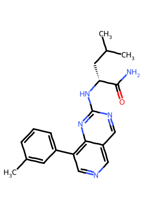 Cc1cccc(-c2cncc3cnc(N[C@H](CC(C)C)C(N)=O)nc23)c1